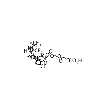 CN1CC(c2ccc(Cl)c(C(=O)N(COC(=O)OCCOC(=O)CCCC(=O)O)C3(C#N)CC3)c2)=CN1c1[nH]nc(C(F)(F)C(F)(F)F)c1C(F)(F)F